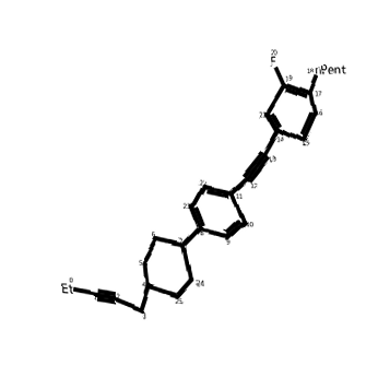 CCC#CCC1CCC(c2ccc(C#Cc3ccc(CCCCC)c(F)c3)cc2)CC1